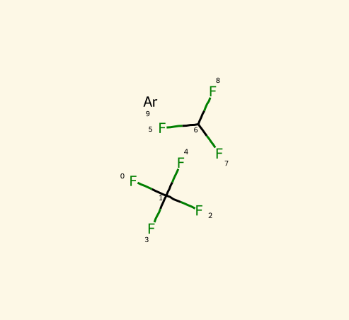 FC(F)(F)F.FC(F)F.[Ar]